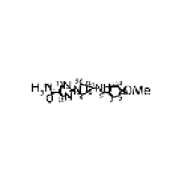 COc1ccc(CNC2C3CN(c4ncc(C(N)=O)cn4)CC32)cc1